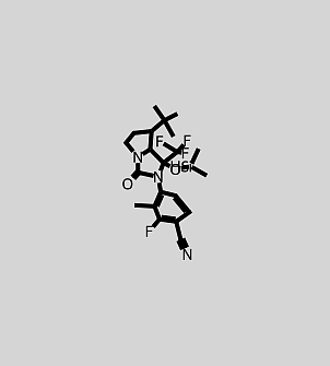 Cc1c(N2C(=O)N3CCC(C(C)(C)C)C3C2(O[SiH](C)C)C(F)(F)F)ccc(C#N)c1F